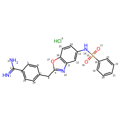 Cl.N=C(N)c1ccc(Cc2nc3cc(NS(=O)(=O)c4ccccc4)ccc3o2)cc1